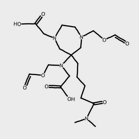 CN(C)C(=O)CCCCC1(N(COC=O)CC(=O)O)CN(COC=O)CCN(CC(=O)O)C1